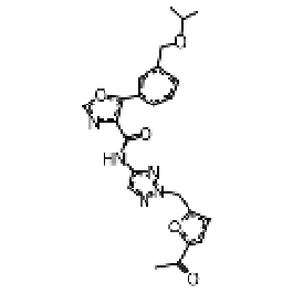 CC(=O)c1ccc(Cn2ncc(NC(=O)c3ncoc3-c3cccc(COC(C)C)c3)n2)o1